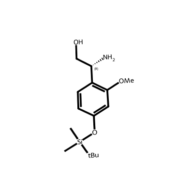 COc1cc(O[Si](C)(C)C(C)(C)C)ccc1[C@@H](N)CO